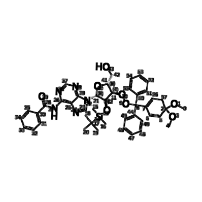 COC1(OC)C=CC(C(OO[C@H]2[C@@H](O[Si](C)(C)C(C)(C)C)[C@H](n3cnc4c(NC(=O)c5ccccc5)ncnc43)O[C@@H]2CO)(c2ccccc2)c2ccccc2)=CC1